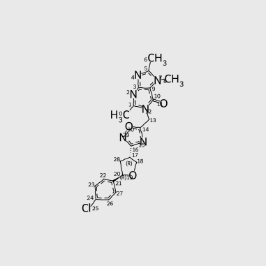 Cc1nc2nc(C)n(C)c2c(=O)n1Cc1nc([C@@H]2CO[C@@H](c3ccc(Cl)cc3)C2)no1